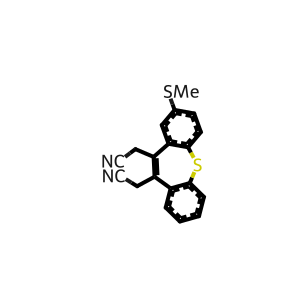 CSc1ccc2c(c1)C(CC#N)=C(CC#N)c1ccccc1S2